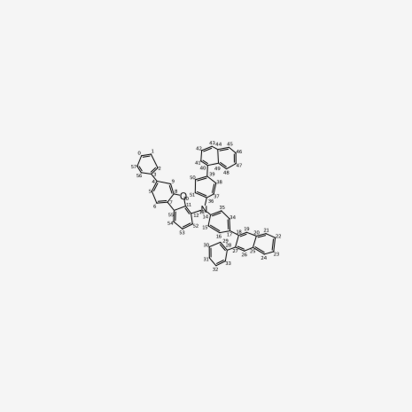 c1ccc(-c2ccc3c(c2)oc2c(N(c4ccc(-c5cc6ccccc6cc5-c5ccccc5)cc4)c4ccc(-c5cccc6ccccc56)cc4)cccc23)cc1